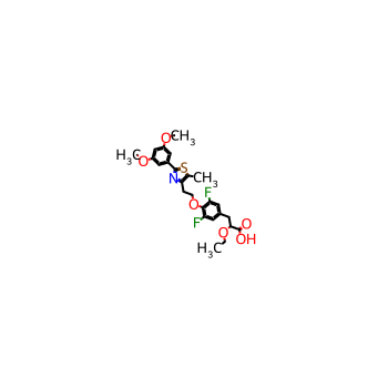 CCOC(Cc1cc(F)c(OCCc2nc(-c3cc(OC)cc(OC)c3)sc2C)c(F)c1)C(=O)O